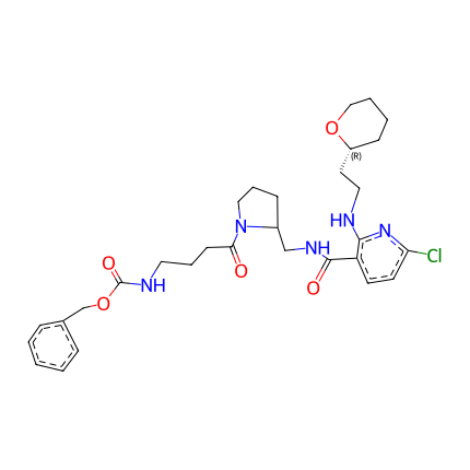 O=C(NCCCC(=O)N1CCCC1CNC(=O)c1ccc(Cl)nc1NCC[C@H]1CCCCO1)OCc1ccccc1